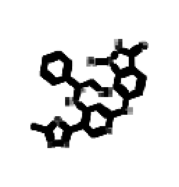 Cc1nnc(-c2cnc(Nc3ccc4c(=O)[nH]n(C(C)C)c4c3)cc2N[C@H](CO)c2ccccc2)o1